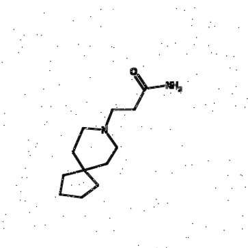 NC(=O)CCN1CCC2(CCCC2)CC1